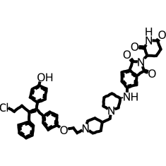 O=C1CCC(N2C(=O)c3ccc(N[C@H]4CCCN(CC5CCN(CCOc6ccc(C(=C(CCCl)c7ccccc7)c7ccc(O)cc7)cc6)CC5)C4)cc3C2=O)C(=O)N1